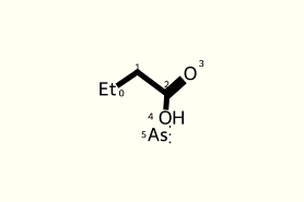 CCCC(=O)O.[As]